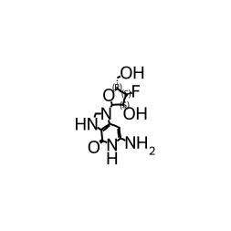 Nc1cc2c(c(=O)[nH]1)NCN2C1O[C@H](CO)[C@@H](F)[C@H]1O